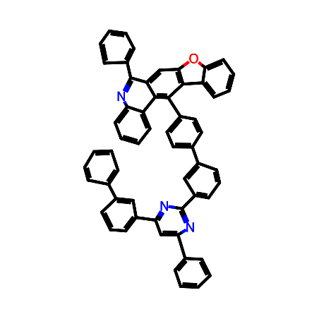 c1ccc(-c2cccc(-c3cc(-c4ccccc4)nc(-c4cccc(-c5ccc(-c6c7c(cc8c(-c9ccccc9)nc9ccccc9c68)oc6ccccc67)cc5)c4)n3)c2)cc1